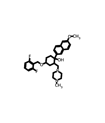 COc1ccc2cc(C3(O)CCC(OCc4c(F)cccc4F)CC3CN3CCN(C)CC3)ccc2c1